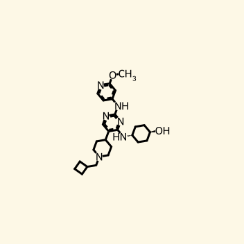 COc1cc(Nc2ncc(C3CCN(CC4CCC4)CC3)c(N[C@H]3CC[C@H](O)CC3)n2)ccn1